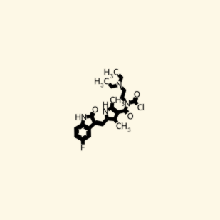 CCN(CC)CCN(C(=O)Cl)C(=O)C1=C(C)NC(/C=C2\C(=O)Nc3ccc(F)cc32)C1C